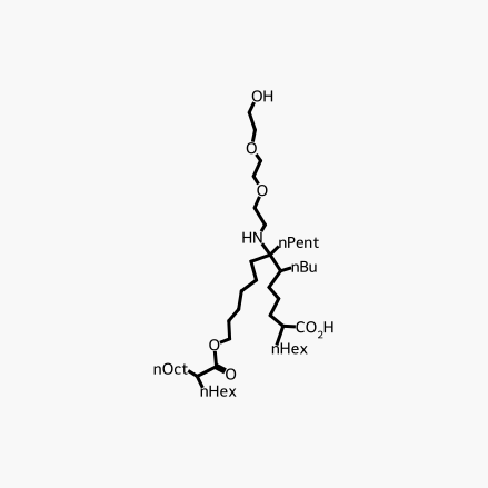 CCCCCCCCC(CCCCCC)C(=O)OCCCCCCC(CCCCC)(NCCOCCOCCO)C(CCCC)CCCC(CCCCCC)C(=O)O